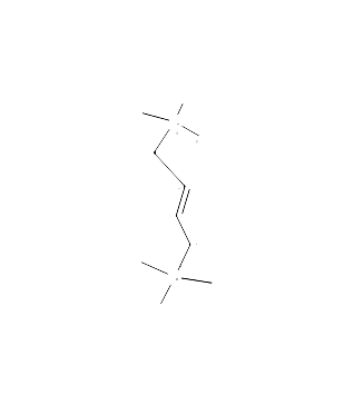 C[Si](C)(Cl)CC=CC[Si](C)(C)Cl